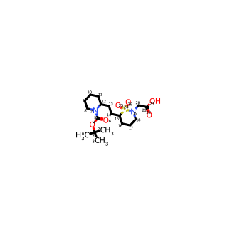 CC(C)(C)OC(=O)N1CCCCC1CCC1CCCN(CC(=O)O)S1(=O)=O